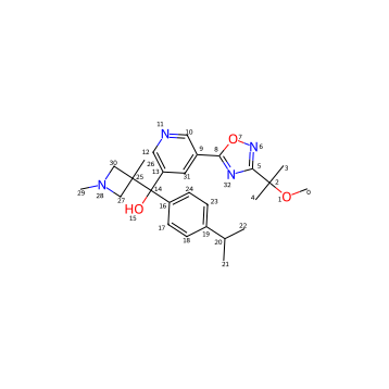 COC(C)(C)c1noc(-c2cncc(C(O)(c3ccc(C(C)C)cc3)C3(C)CN(C)C3)c2)n1